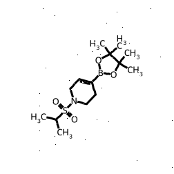 CC(C)S(=O)(=O)N1CC=C(B2OC(C)(C)C(C)(C)O2)CC1